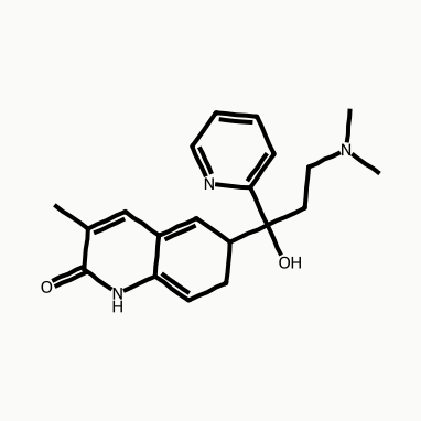 Cc1cc2c([nH]c1=O)=CCC(C(O)(CCN(C)C)c1ccccn1)C=2